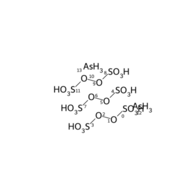 O=S(=O)(O)OOS(=O)(=O)O.O=S(=O)(O)OOS(=O)(=O)O.O=S(=O)(O)OOS(=O)(=O)O.[AsH3].[AsH3]